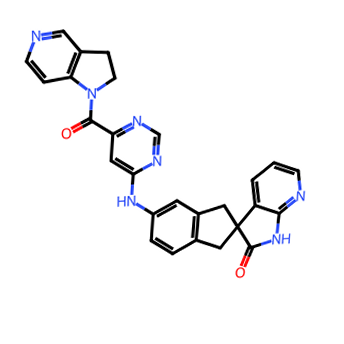 O=C(c1cc(Nc2ccc3c(c2)CC2(C3)C(=O)Nc3ncccc32)ncn1)N1CCc2cnccc21